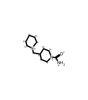 NC(=O)N1CCC(CN2CCCCC2)CC1